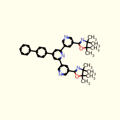 CC1(C)N=C(c2cncc(-c3cc(-c4ccc(-c5ccccc5)cc4)cc(-c4cncc(C5=NC(C)(C)C(C)(C)O5)c4)n3)c2)OC1(C)C